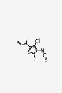 C=CC(C)c1sc(F)c(N=C=S)c1Cl